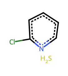 Clc1ccccn1.S